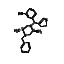 C[C@@H]1CN(C(C2=CSCC2)c2cccc(O)c2)[C@@H](C)CN1Cc1ccccc1